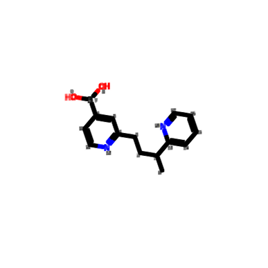 CC(CCc1cc(B(O)O)ccn1)c1ccccn1